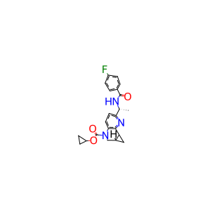 C[C@@H](NC(=O)c1ccc(F)cc1)c1ccc2c(n1)C1C[C@@H]1CN2C(=O)OC1CC1